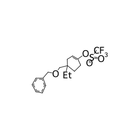 CCC1(COCc2ccccc2)CC=C(OS(=O)(=O)C(F)(F)F)CC1